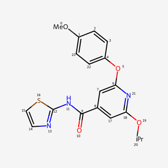 COc1ccc(Oc2cc(C(=O)Nc3nccs3)cc(OC(C)C)n2)cc1